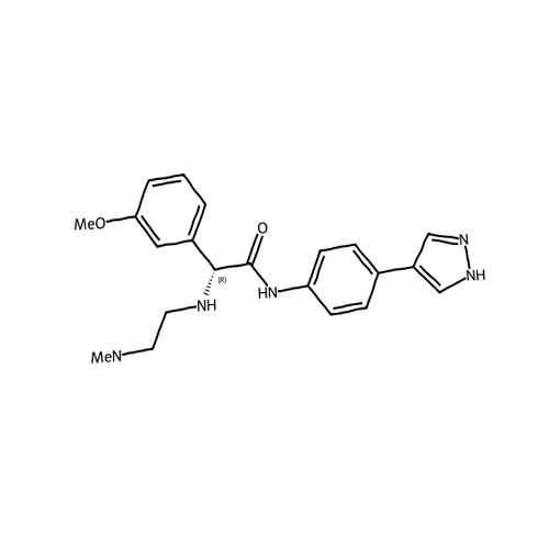 CNCCN[C@@H](C(=O)Nc1ccc(-c2cn[nH]c2)cc1)c1cccc(OC)c1